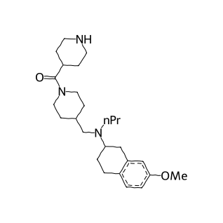 CCCN(CC1CCN(C(=O)C2CCNCC2)CC1)C1CCc2ccc(OC)cc2C1